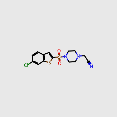 N#CCN1CCN(S(=O)(=O)c2cc3ccc(Cl)cc3s2)CC1